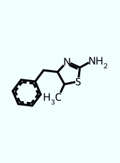 CC1SC(N)=NC1Cc1ccccc1